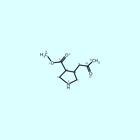 COC(=O)C1CNCC1CC(C)=O